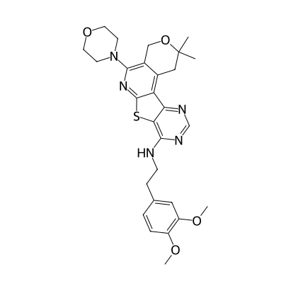 COc1ccc(CCNc2ncnc3c2sc2nc(N4CCOCC4)c4c(c23)CC(C)(C)OC4)cc1OC